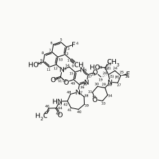 C#Cc1c(F)ccc2cc(O)cc(N3Cc4nc(OC[C@]5([C@H](C)O)C[C@@H](F)CN5C5CCOCC5)nc(N5CCCCC(NC(=O)C=C)C5)c4OC3=O)c12